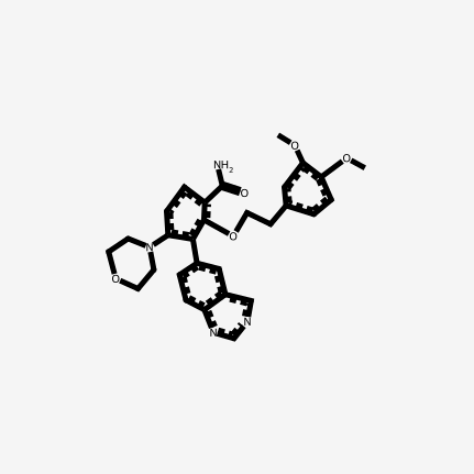 COc1ccc(CCOc2c(C(N)=O)ccc(N3CCOCC3)c2-c2ccc3ncncc3c2)cc1OC